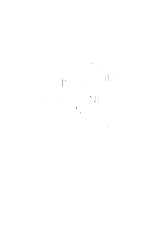 CCCCC1(CCCC)NC(=O)N(c2ccccc2Cl)N1